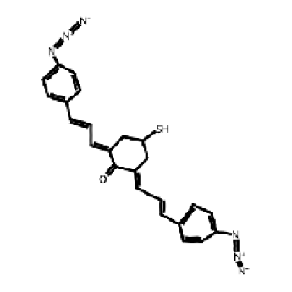 [N-]=[N+]=Nc1ccc(/C=C/C=C2\CC(S)C/C(=C\C=C\c3ccc(N=[N+]=[N-])cc3)C2=O)cc1